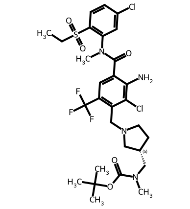 CCS(=O)(=O)c1ccc(Cl)cc1N(C)C(=O)c1cc(C(F)(F)F)c(CN2CC[C@H](CN(C)C(=O)OC(C)(C)C)C2)c(Cl)c1N